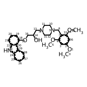 COc1cc(OC)c(CN2CCN(CC(O)COc3cccc4[nH]c5ccccc5c34)CC2)c(OC)c1